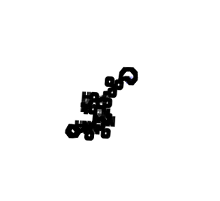 C[Si](C)(C)OC1[C@H](n2cnc3c(=O)[nH]c(NC(=O)c4ccccc4)nc32)O[C@H](COC(=O)OC2/C=C/CCCCC2)[C@H]1O